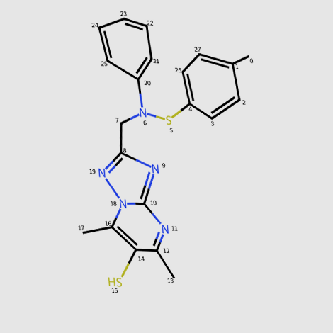 Cc1ccc(SN(Cc2nc3nc(C)c(S)c(C)n3n2)c2ccccc2)cc1